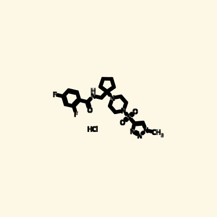 Cl.Cn1cc(S(=O)(=O)N2CCN(C3(CNC(=O)c4ccc(F)cc4F)CCCC3)CC2)nn1